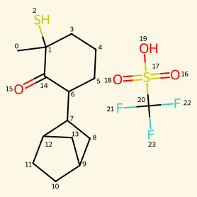 CC1(S)CCCC(C2CC3CCC2C3)C1=O.O=S(=O)(O)C(F)(F)F